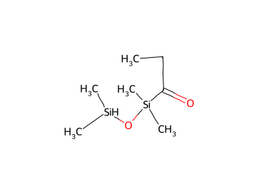 CCC(=O)[Si](C)(C)O[SiH](C)C